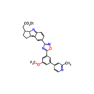 CCOC(=O)CC1CCC2=c3cc(-c4noc(-c5cc(OC(F)(F)F)cc(-c6ccnc(C)c6)c5)n4)ccc3=NC21